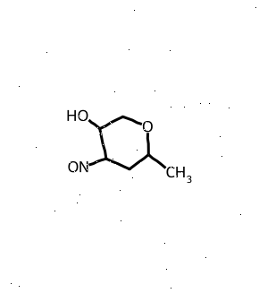 CC1CC(N=O)C(O)CO1